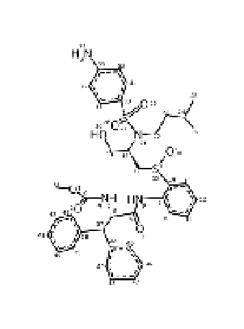 COC(=O)N[C@H](C(=O)Nc1ccccc1[S+]([O-])C[C@@H](CO)N(CCC(C)C)S(=O)(=O)c1ccc(N)cc1)C(c1ccccc1)c1ccccc1